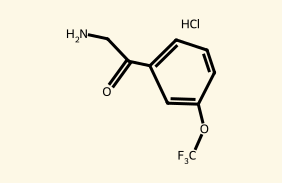 Cl.NCC(=O)c1cccc(OC(F)(F)F)c1